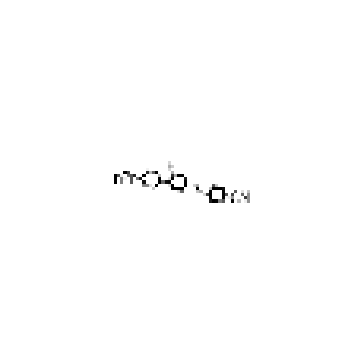 CCCC1CCC(c2ccc(CCc3ccc(C#N)cc3)cc2F)CC1